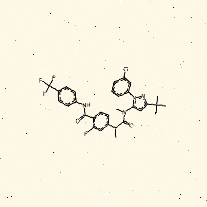 CC(C(=O)N(C)c1cc(C(C)(C)C)nn1-c1cccc(Cl)c1)c1ccc(C(=O)Nc2ccc(C(F)(F)F)cc2)c(F)c1